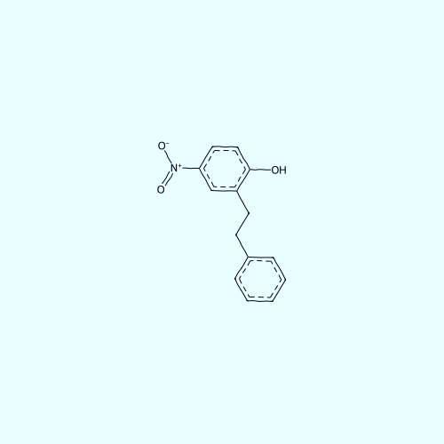 O=[N+]([O-])c1ccc(O)c(CCc2ccccc2)c1